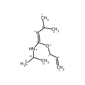 C=CCO/C(=N\C(C)C)NC(C)C